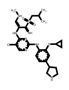 CN/C=C(/Nc1nc(Nc2ccc(C3CCNC3)cc2OC2CC2)ncc1Cl)C(=N)S(=O)(=O)CC(C)C